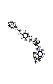 Fc1c(/C=C/c2nc(COc3ccc(CCCCN4CCSCC4)cc3)co2)cccc1C(F)(F)F